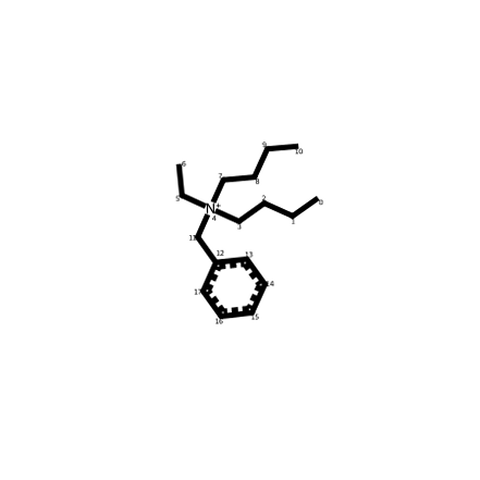 CCCC[N+](CC)(CCCC)Cc1ccccc1